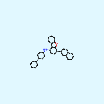 c1ccc(-c2ccc(Nc3ccc(-c4ccc5ccccc5c4)c4oc5ccccc5c34)cc2)cc1